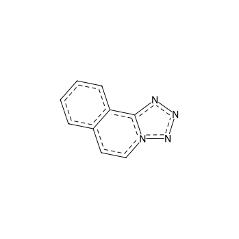 c1ccc2c(c1)ccn1nnnc21